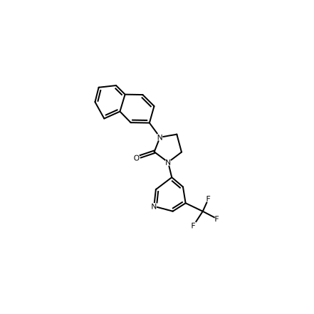 O=C1N(c2cncc(C(F)(F)F)c2)CCN1c1ccc2ccccc2c1